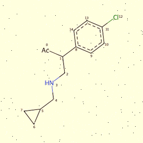 CC(=O)C(CNCC1CC1)c1ccc(Cl)cc1